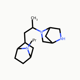 CC(CC1CC2CCC1N2C(C)C)N1CC2CC1CN2